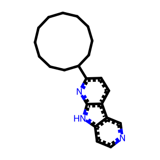 c1cc2[nH]c3nc(C4CCCCCCCCCCC4)ccc3c2cn1